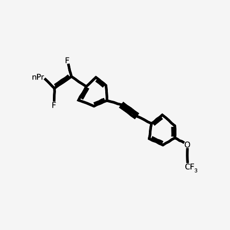 CCC/C(F)=C(\F)c1ccc(C#Cc2ccc(OC(F)(F)F)cc2)cc1